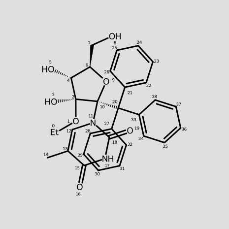 CCO[C@@]1(O)[C@H](O)[C@@H](CO)O[C@]1(n1cc(C)c(=O)[nH]c1=O)C(c1ccccc1)(c1ccccc1)c1ccccc1